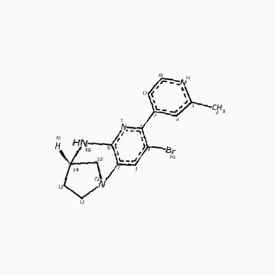 Cc1cc(-c2nc3c(cc2Br)N2CC[C@@H](C2)N3)ccn1